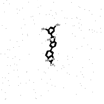 Cc1nc2cc(-c3ccc4nc(-c5cc(C(C)(C)C)cc(C(C)(C)C)c5)[nH]c4c3)ccc2[nH]1